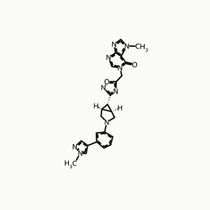 Cn1cc(-c2cccc(N3C[C@@H]4[C@H](C3)[C@H]4c3noc(Cn4cnc5ncn(C)c5c4=O)n3)c2)cn1